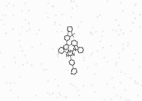 CC1(C)c2ccccc2-c2ccc(-c3ccccc3-c3cccc4c5ccccc5n(-c5nc(-c6ccccc6)nc(-c6ccc(-c7ccccc7)cc6)n5)c34)cc21